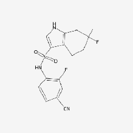 CC1(F)CCc2c(S(=O)(=O)Nc3ccc(C#N)cc3F)c[nH]c2C1